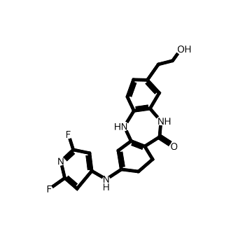 O=C1Nc2cc(CCO)ccc2NC2=C1CCC(Nc1cc(F)nc(F)c1)=C2